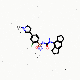 CN1CCC(c2ccc(S(N)(=O)=NC(=O)Nc3c4c(cc5c3CCC5)CCC4)c(F)c2)C1